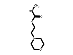 CNC(=O)[N]CCN1CCOCC1